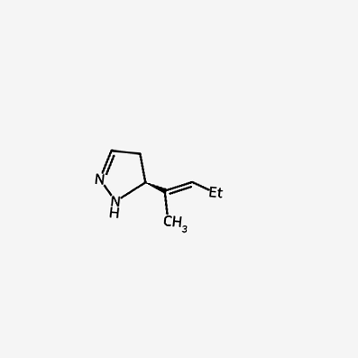 CCC=C(C)[C@@H]1CC=NN1